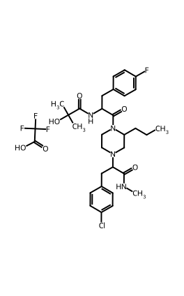 CCCC1CN(C(Cc2ccc(Cl)cc2)C(=O)NC)CCN1C(=O)C(Cc1ccc(F)cc1)NC(=O)C(C)(C)O.O=C(O)C(F)(F)F